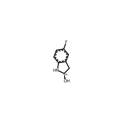 O[C@@H]1Cc2cc(F)ccc2N1